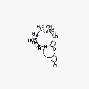 C[C@@H]1[C@@H](C)C/C=C/[C@@](C)(O)[C@@H]2CC[C@H]2CN2CCCCc3cc(Cl)ccc3COc3ccc(cc32)C(=O)NS1(=O)=O